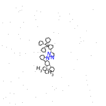 CC1(C)c2ccccc2-c2cc3c(cc21)c1ccccc1n3-c1nccc(-c2cccc([Si](c3ccccc3)(c3ccccc3)c3ccccc3)c2)n1